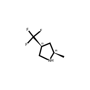 C[C@@H]1C[C@H](C(F)(F)F)CN1